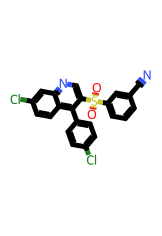 N#Cc1cccc(S(=O)(=O)c2cnc3cc(Cl)ccc3c2-c2ccc(Cl)cc2)c1